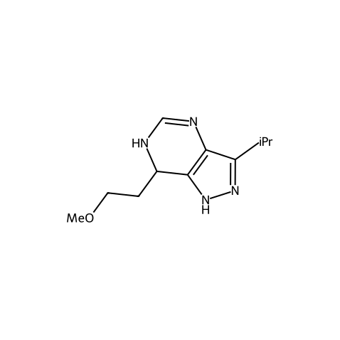 COCCC1NC=Nc2c(C(C)C)n[nH]c21